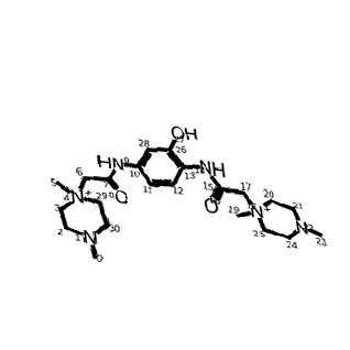 CN1CC[N+](C)(CC(=O)Nc2ccc(NC(=O)C[N+]3(C)CCN(C)CC3)c(O)c2)CC1